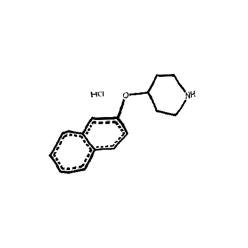 Cl.c1ccc2cc(OC3CCNCC3)ccc2c1